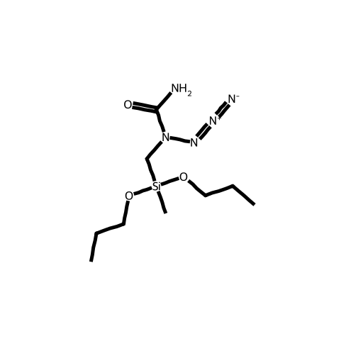 CCCO[Si](C)(CN(N=[N+]=[N-])C(N)=O)OCCC